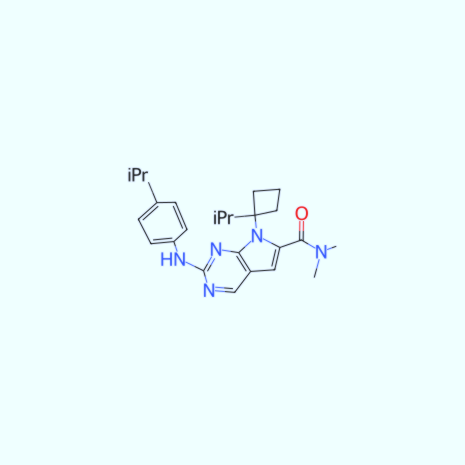 CC(C)c1ccc(Nc2ncc3cc(C(=O)N(C)C)n(C4(C(C)C)CCC4)c3n2)cc1